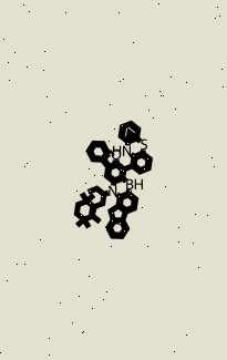 CCC(CC1=C(C)C(C)(C)CCC1(C)C)N1c2cc3c(oc4ccccc43)c(-c3cccc4c3NC35C=CC=CC3(C5)S4)c2Bc2ccc3c(c21)Cc1ccccc1-3